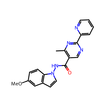 COc1ccc2c(ccn2NC(=O)c2cnc(-c3ccccn3)nc2C)c1